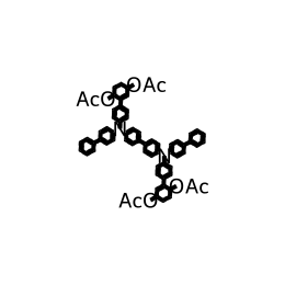 CC(=O)OC1C=C(c2ccc(N(c3ccc(-c4ccccc4)cc3)c3ccc(-c4ccc(N(c5ccc(C6=CC(OC(C)=O)CCC6OC(C)=O)cc5)c5ccc(-c6ccccc6)cc5)cc4)cc3)cc2)C(OC(C)=O)CC1